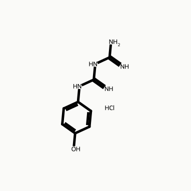 Cl.N=C(N)NC(=N)Nc1ccc(O)cc1